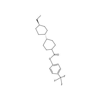 CC[C@H]1CC[C@H](C2CCC(C(=O)Oc3ccc(C(F)(F)F)cc3)CC2)CC1